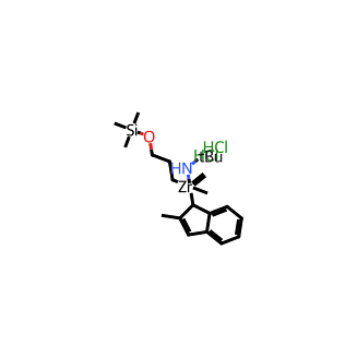 Cl.Cl.[CH2]=[Zr]([CH3])([CH2]CCO[Si](C)(C)C)([NH]C(C)(C)C)[CH]1C(C)=Cc2ccccc21